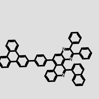 c1ccc(-c2nc3cc(-c4ccc(-c5ccc6c7ccccc7c7ccccc7c6c5)cc4)c4c5ccccc5nc(-c5cccc6ccccc56)c4c3nc2-c2ccccc2)cc1